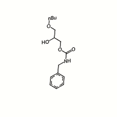 CCCCOCC(O)COC(=O)NCc1ccccc1